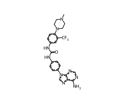 CN1CCN(c2ccc(NC(=O)Nc3ccc(-n4cnc5c(N)ncnc54)cc3)cc2C(F)(F)F)CC1